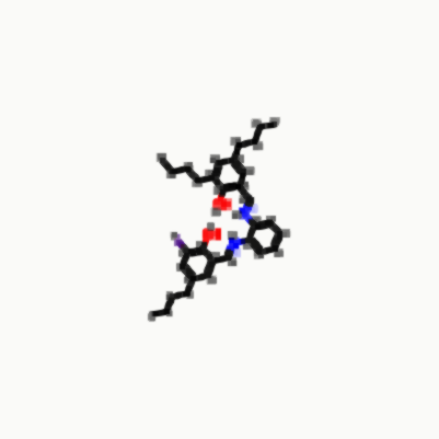 CCCCc1cc(I)c(O)c(/C=N/c2ccccc2/N=C/c2cc(CCCC)cc(CCCC)c2O)c1